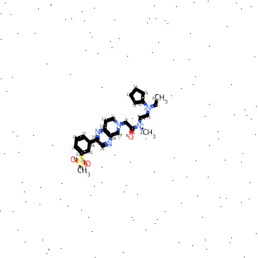 CCN(CCN(C)C(=O)CN1CCc2nc(C3C=CC=C(S(C)(=O)=O)C3)cnc2C1)C1CCCC1